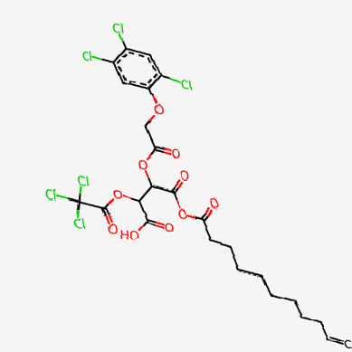 C=CCCCCCCCCC(=O)OC(=O)C(OC(=O)COc1cc(Cl)c(Cl)cc1Cl)C(OC(=O)C(Cl)(Cl)Cl)C(=O)O